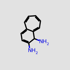 NC1=CC=C2C=CC=CC=C2C1N